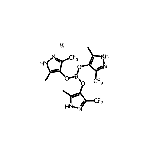 Cc1[nH]nc(C(F)(F)F)c1OB(Oc1c(C(F)(F)F)n[nH]c1C)Oc1c(C(F)(F)F)n[nH]c1C.[K]